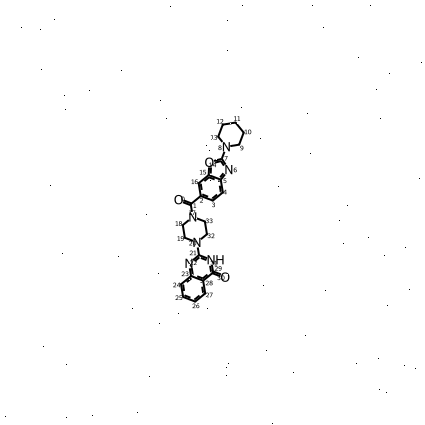 O=C(c1ccc2nc(N3CCCCC3)oc2c1)N1CCN(c2nc3ccccc3c(=O)[nH]2)CC1